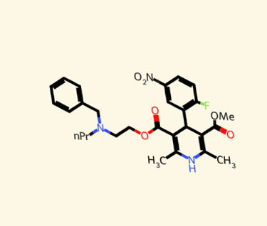 CCCN(CCOC(=O)C1=C(C)NC(C)=C(C(=O)OC)C1c1cc([N+](=O)[O-])ccc1F)Cc1ccccc1